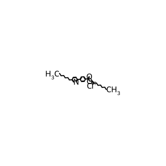 CCCCCCCc1ccc(-c2ccc(C(=O)OC[C@H](Cl)CCCCCCC)cc2)nc1